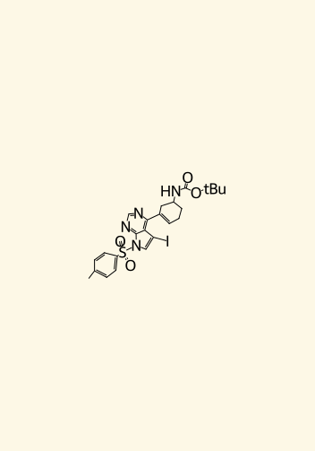 Cc1ccc(S(=O)(=O)n2cc(I)c3c(C4=CCCC(NC(=O)OC(C)(C)C)C4)ncnc32)cc1